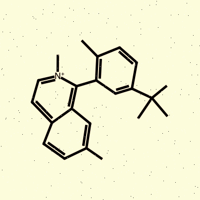 Cc1ccc2cc[n+](C)c(-c3cc(C(C)(C)C)ccc3C)c2c1